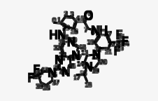 Cc1ccc(C(=O)CNc2cc(N3CCN(C(C)C)CC3)cc(C(F)(F)F)c2)cc1NC1=C=c2nc(N3CCCC(F)(F)C3)ncc2=NC=N1